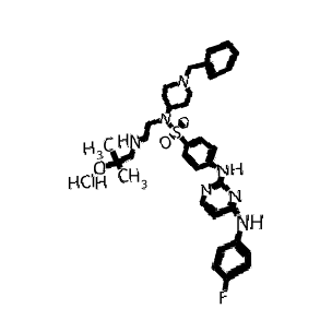 CC(C)(O)CNCCN(C1CCN(Cc2ccccc2)CC1)S(=O)(=O)c1ccc(Nc2nccc(Nc3ccc(F)cc3)n2)cc1.Cl